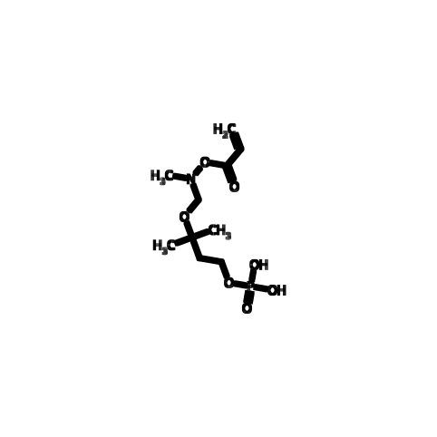 C=CC(=O)ON(C)COC(C)(C)CCOP(=O)(O)O